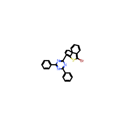 BrC1=C2C=CC=CC23CC=CC(c2nc(-c4ccccc4)nc(-c4ccccc4)n2)=C3S1